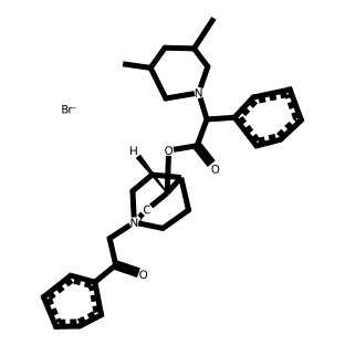 CC1CC(C)CN(C(C(=O)O[C@H]2C[N+]3(CC(=O)c4ccccc4)CCC2CC3)c2ccccc2)C1.[Br-]